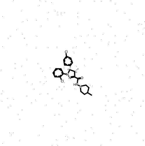 CC1CCN(NC(=O)C2=NN(c3ccccc3Cl)[C@H](c3ccc(Cl)cc3)[C@@H]2C)CC1